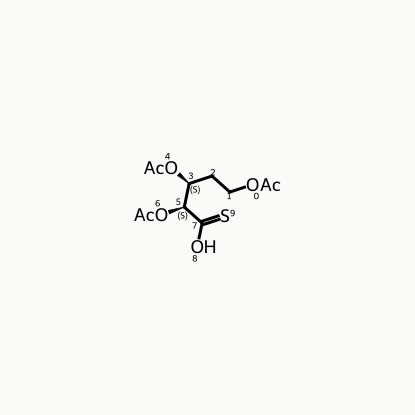 CC(=O)OCC[C@H](OC(C)=O)[C@H](OC(C)=O)C(O)=S